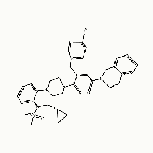 CS(=O)(=O)N(CC1CC1)c1ccccc1N1CCN(C(=O)[C@H](CC(=O)N2CCc3ccccc3C2)Cc2ccc(Cl)cc2)CC1